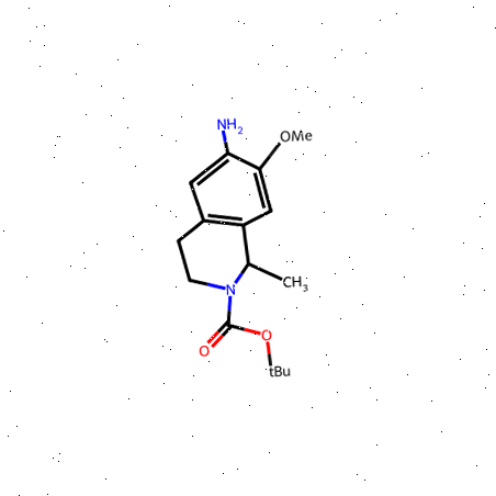 COc1cc2c(cc1N)CCN(C(=O)OC(C)(C)C)C2C